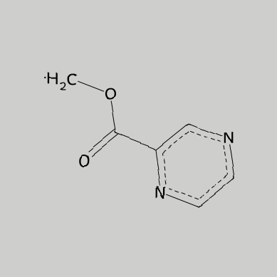 [CH2]OC(=O)c1cnccn1